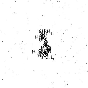 C/C=C(\NC(C)CN(CCC)C(=O)CCC)c1ccc2c(c1)COc1cc3c(ccc4nc(CN(C(=O)CNC(=O)OC)[C@@H](C)CC)[nH]c43)cc1-2